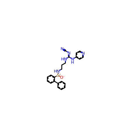 N#C/N=C(\NCCCN[S+]([O-])c1ccccc1-c1ccccc1)Nc1ccncc1